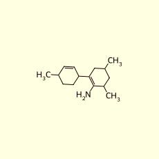 CC1C=CC(C2=C(N)C(C)CC(C)C2)CC1